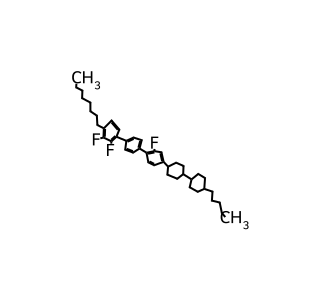 CCCCCCCCc1ccc(-c2ccc(-c3ccc(C4CCC(C5CCC(CCCCC)CC5)CC4)cc3F)cc2)c(F)c1F